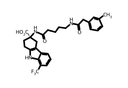 Cc1cccc(CC(=O)NCCCCC(=O)N[C@]2(C(=O)O)CCc3[nH]c4c(C(F)(F)F)cccc4c3C2)c1